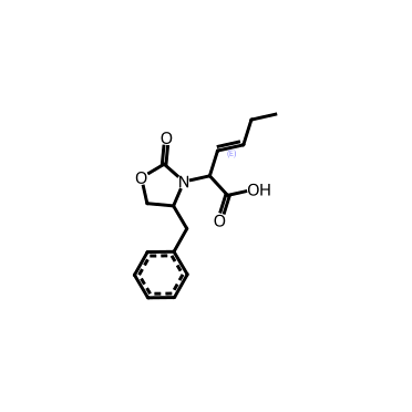 CC/C=C/C(C(=O)O)N1C(=O)OCC1Cc1ccccc1